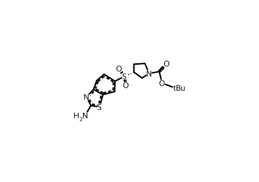 CC(C)(C)OC(=O)N1CC[C@@H](S(=O)(=O)c2ccc3nc(N)sc3c2)C1